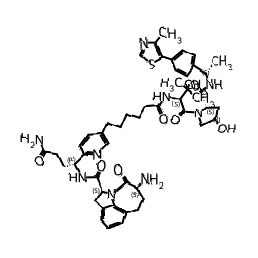 Cc1ncsc1-c1ccc([C@H](C)NC(=O)[C@@H]2C[C@@H](O)CN2C(=O)[C@@H](NC(=O)CCCCCc2ccc([C@@H](CCC(N)=O)NC(=O)[C@@H]3Cc4cccc5c4N3C(=O)[C@@H](N)CC5)nc2)C(C)(C)C)cc1